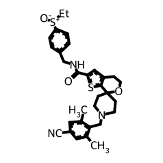 CC[S+]([O-])c1ccc(CNC(=O)c2cc3c(s2)C2(CCN(Cc4c(C)cc(C#N)cc4C)CC2)OCC3)cc1